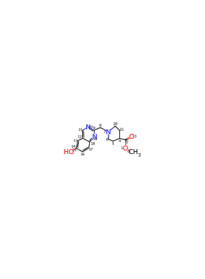 COC(=O)C1CCN(Cc2ncc3cc(O)ccc3n2)CC1